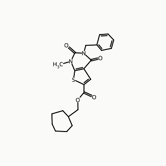 Cn1c(=O)n(Cc2ccccc2)c(=O)c2cc(C(=O)OCC3CCCCCC3)sc21